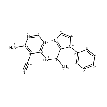 CC(Nc1ncnc(N)c1C#N)c1nccn1-c1ccccc1